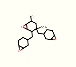 CC1CC(CC2CCC3OC3C2)(C(=O)O)C(CC2CCC3OC3C2)C2OC12